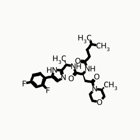 CC(C)CCC(=O)N[C@@H](CC(=O)N1CCOC[C@@H]1C)C(=O)N[C@@H](C)c1ncc(-c2ccc(F)cc2F)[nH]1